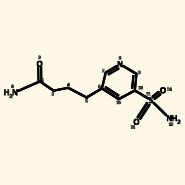 NC(=O)CCCc1cncc(S(N)(=O)=O)c1